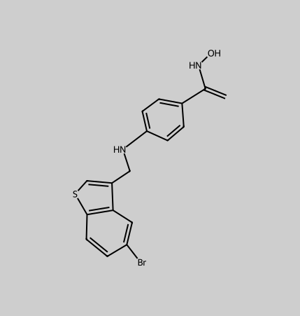 C=C(NO)c1ccc(NCc2csc3ccc(Br)cc23)cc1